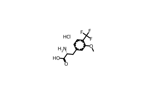 COc1cc(C[C@@H](N)C(=O)O)ccc1C(F)(F)F.Cl